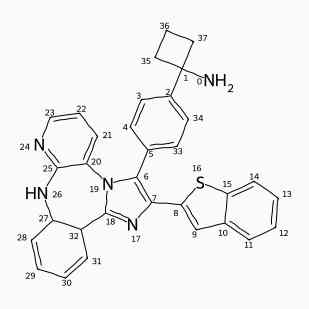 NC1(c2ccc(-c3c(-c4cc5ccccc5s4)nc4n3-c3cccnc3NC3C=CC=CC43)cc2)CCC1